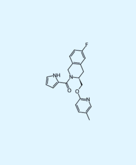 Cc1ccc(OC[C@@H]2Cc3cc(F)ccc3CN2C(=O)c2ccc[nH]2)nc1